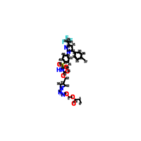 CCC(=O)OCO/N=N\N1CC(COC(=O)NS(=O)(=O)c2ccc(-n3nc(C(F)(F)F)cc3-c3ccc(C)cc3)cc2)C1